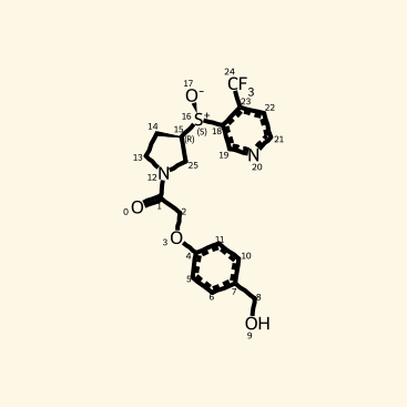 O=C(COc1ccc(CO)cc1)N1CC[C@@H]([S@@+]([O-])c2cnccc2C(F)(F)F)C1